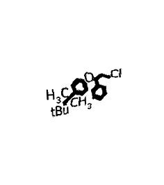 CC(C)(C)CC(C)(C)c1ccc(OC(CCCl)c2ccccc2)cc1